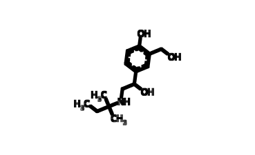 CCC(C)(C)NCC(O)c1ccc(O)c(CO)c1